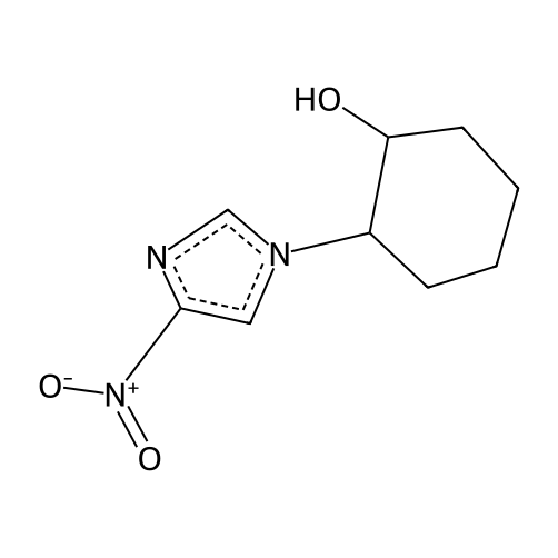 O=[N+]([O-])c1cn(C2CCCCC2O)cn1